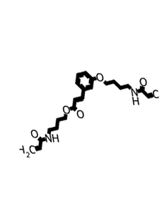 C=CC(=O)NCCCCOC(=O)C=Cc1cccc(OCCCCNC(=O)C=C)c1